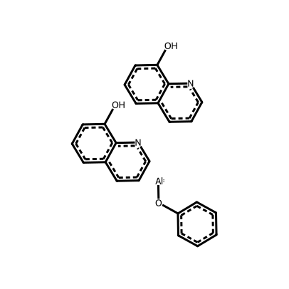 Oc1cccc2cccnc12.Oc1cccc2cccnc12.[Al][O]c1ccccc1